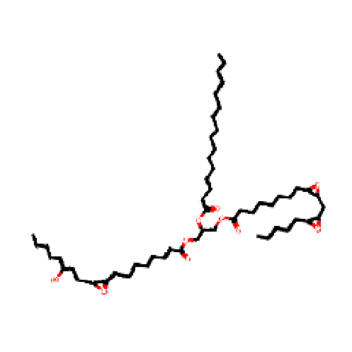 CCCCCCCCCCCCCCCC(=O)OC(COC(=O)CCCCCCCC1OC1CCC(O)CCCCC)COC(=O)CCCCCCCC1OC1CC1OC1CCCCC